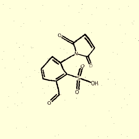 O=[C]c1cccc(N2C(=O)C=CC2=O)c1S(=O)(=O)O